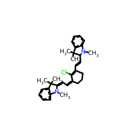 CN1C(=CC=C2CCCC(C=CC3N(C)c4ccccc4C3(C)C)=C2Cl)C(C)(C)c2ccccc21